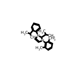 Cc1cccc(C)c1N1C=CN(c2ccccc2C(C)C)C1C(C)C